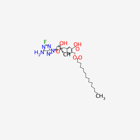 C#C[C@@]1(Cc2ccc(COC(=O)CCCCCCCCCCCCCCC)c(C(=O)O)c2)O[C@@H](N2C=NC3C(N)=NC(F)=NC32)C[C@@H]1O